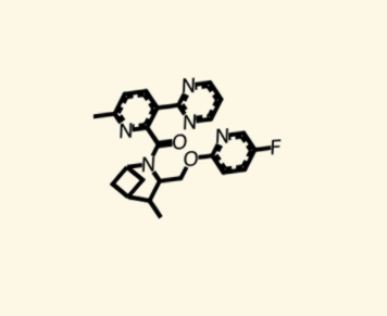 Cc1ccc(-c2ncccn2)c(C(=O)N2C3CC(C3)C(C)C2COc2ccc(F)cn2)n1